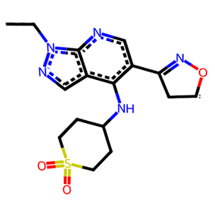 CCn1ncc2c(NC3CCS(=O)(=O)CC3)c(C3=NO[C]C3)cnc21